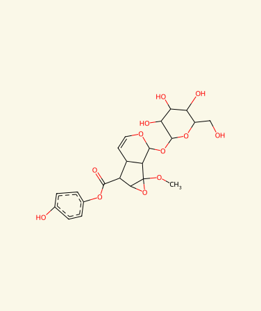 COC12OC1C(C(=O)Oc1ccc(O)cc1)C1C=COC(OC3OC(CO)C(O)C(O)C3O)C12